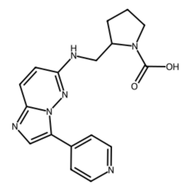 O=C(O)N1CCCC1CNc1ccc2ncc(-c3ccncc3)n2n1